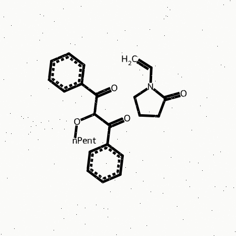 C=CN1CCCC1=O.CCCCCOC(C(=O)c1ccccc1)C(=O)c1ccccc1